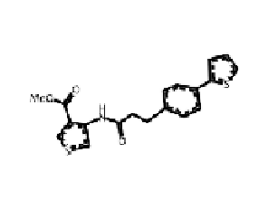 COC(=O)c1cscc1NC(=O)CCc1ccc(-c2cccs2)cc1